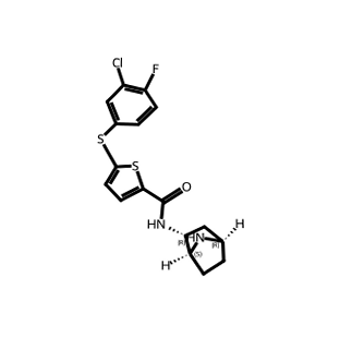 O=C(N[C@@H]1C[C@H]2CC[C@@H]1N2)c1ccc(Sc2ccc(F)c(Cl)c2)s1